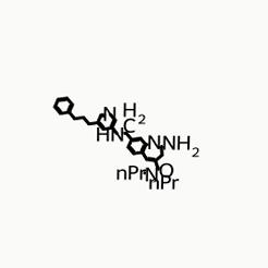 C=C(Nc1cncc(CCCc2ccccc2)c1)c1ccc2c(c1)N=C(N)CC(C(=O)N(CCC)CCC)=C2